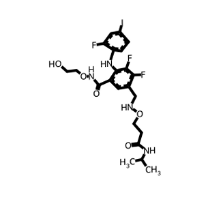 CC(C)NC(=O)CCONCc1cc(C(=O)NOCCO)c(Nc2ccc(I)cc2F)c(F)c1F